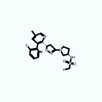 Cc1cnc([C@@H]2CC(N3CC[C@H](NS(=O)(=O)CF)C3)=NO2)c(-c2c(F)cccc2F)c1